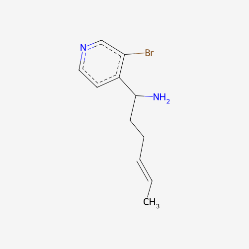 CC=CCCC(N)c1ccncc1Br